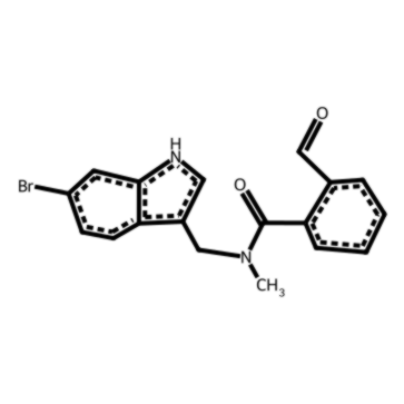 CN(Cc1c[nH]c2cc(Br)ccc12)C(=O)c1ccccc1C=O